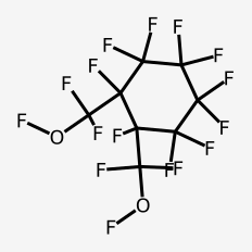 FOC(F)(F)C1(F)C(F)(F)C(F)(F)C(F)(F)C(F)(F)C1(F)C(F)(F)OF